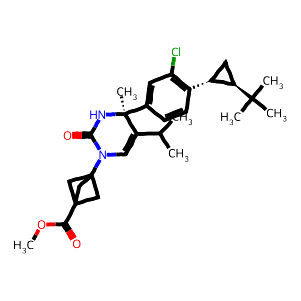 COC(=O)C12CC(N3C=C(C(C)C)[C@](C)(c4ccc([C@@H]5C[C@H]5C(C)(C)C)c(Cl)c4)NC3=O)(C1)C2